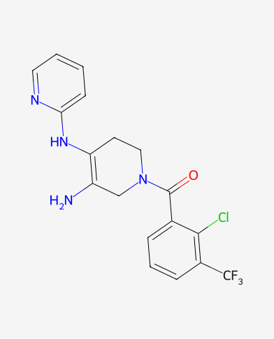 NC1=C(Nc2ccccn2)CCN(C(=O)c2cccc(C(F)(F)F)c2Cl)C1